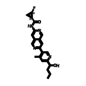 CCCC(O)c1cc(C)c(-c2cc3cnc(NC(=O)[C@H]4C[C@H]4F)cc3cn2)cn1